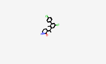 C/C(=C1/CCCNC1=O)c1cc(Cl)cc(-c2ccc(Cl)cc2)c1C